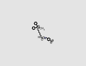 Cc1nc(-c2ccccc2)c(-c2ccccc2)n1CCCCCCNC(=O)O/N=C/c1ccc([N+](=O)[O-])cc1